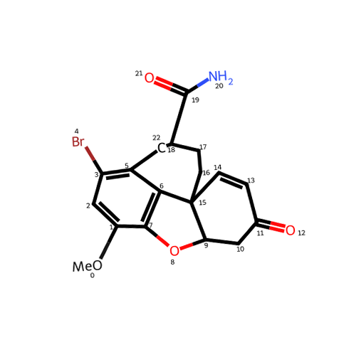 COc1cc(Br)c2c3c1OC1CC(=O)C=CC31CCC(C(N)=O)C2